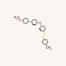 COc1ccc(-c2c#cc(Oc3c#cc(SSc4ccc(C)cc4)cc3)cc2)cc1